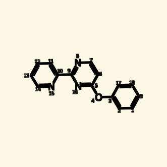 c1ccc(Oc2ccnc(-c3ccccn3)n2)cc1